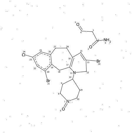 NC(=O)CC=O.O=[N+]1CCC(N2CC(Br)=CC3=C2Cc2c(Br)cc(Cl)cc2CC3)CC1